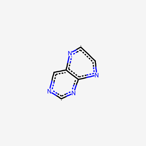 [c]1cnc2n[c]ncc2n1